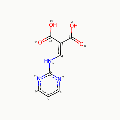 O=C(O)C(=CNc1ncccn1)C(=O)O